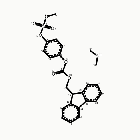 COS(=O)(=O)Oc1ccc(OC(=O)OCC2c3ccccc3-c3ccccc32)cc1.CSC